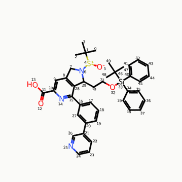 CC(C)(C)[S@@+]([O-])N1Cc2cc(C(=O)O)nc(-c3cccc(-c4cccnc4)c3)c2C1CCO[Si](c1ccccc1)(c1ccccc1)C(C)(C)C